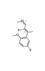 C/N=C\C(F)=C(/C)c1cc(F)ccc1OC